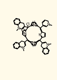 CN1C=C(C2=C3C=CC(=N3)C(C3=CN(C)c4ccccc4C3)=c3ccc([nH]3)=C(C3=CN(C)c4ccccc4C3)C3=NC(Cl)(C=C3)C(Cl)(C3=CN(C)c4ccccc4C3)c3ccc2[nH]3)C=CC1